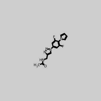 CC(=O)NCc1cn(-c2cc(F)c(-n3cccc3)c(F)c2)nn1